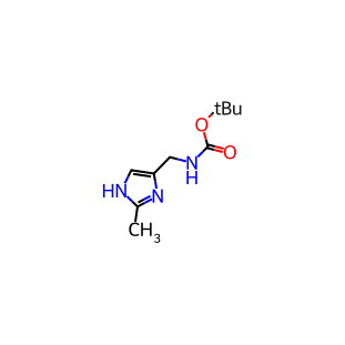 Cc1nc(CNC(=O)OC(C)(C)C)c[nH]1